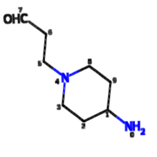 NC1CCN(CCC=O)CC1